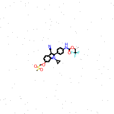 C[C@@H](OC(=O)Nc1ccc(-c2c(C#N)c3ccc(OCS(C)(=O)=O)cc3n2C2CC2)cc1)C(F)(F)F